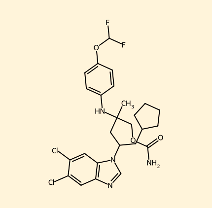 CC(COC(N)=O)(CC(CC1CCCC1)n1cnc2cc(Cl)c(Cl)cc21)Nc1ccc(OC(F)F)cc1